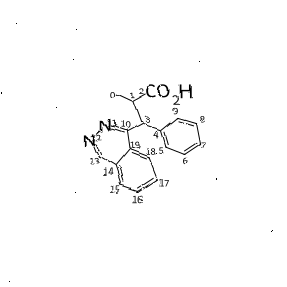 CC(C(=O)O)C(c1ccccc1)c1nncc2ccccc12